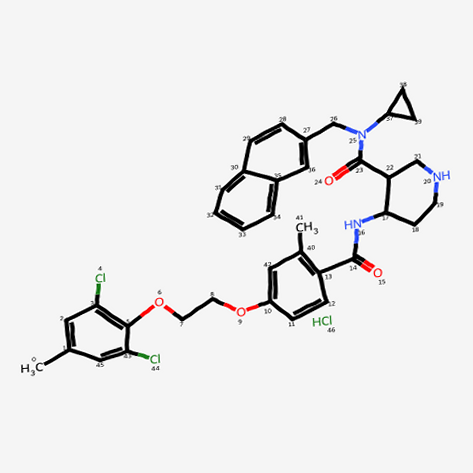 Cc1cc(Cl)c(OCCOc2ccc(C(=O)NC3CCNCC3C(=O)N(Cc3ccc4ccccc4c3)C3CC3)c(C)c2)c(Cl)c1.Cl